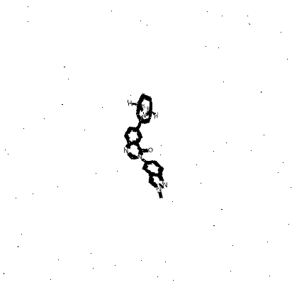 CN1[C@H]2CC[C@@H]1C=C(c1ccc3ncn(-c4ccc5nn(C)cc5c4)c(=O)c3c1)C2